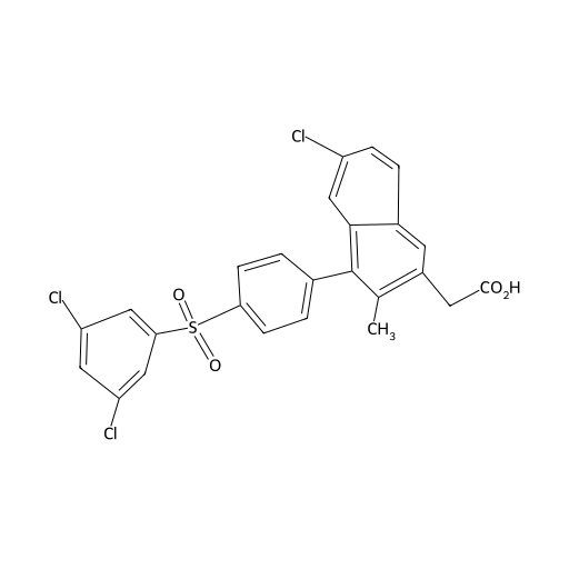 Cc1c(CC(=O)O)cc2ccc(Cl)cc2c1-c1ccc(S(=O)(=O)c2cc(Cl)cc(Cl)c2)cc1